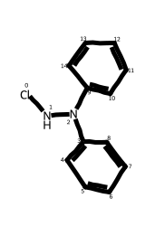 ClNN(c1ccccc1)c1ccccc1